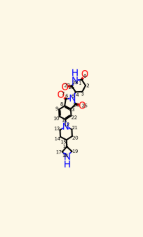 O=C1CCC(N2C(=O)c3ccc(N4CCC(C5CNC5)CC4)cc3C2=O)C(=O)N1